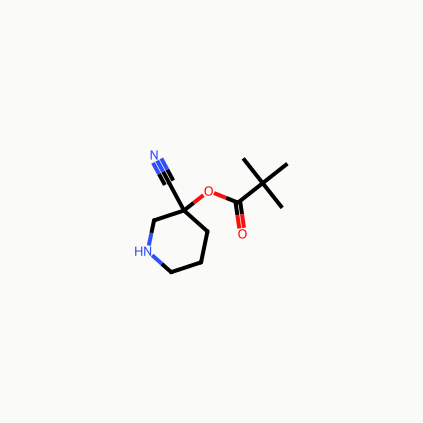 CC(C)(C)C(=O)OC1(C#N)CCCNC1